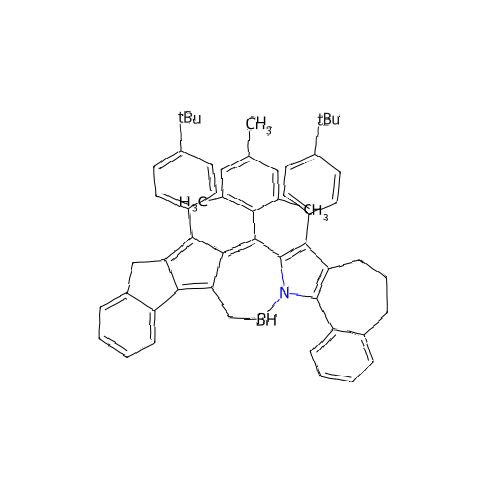 Cc1cc(C)c(C2=C3C(=C4C(=C3c3ccc(C(C)(C)C)cc3)Cc3ccccc34)CBn3c2c(-c2ccc(C(C)(C)C)cc2)c2c3-c3ccccc3CCC2)c(C)c1